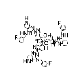 OC(c1cccc2c1cnn2-c1nc2c(c(NCc3cccc(F)c3)n1)CCNC2)C(O)(c1cccc2c1cnn2-c1nc2c(c(NCc3cccc(F)c3)n1)CCCC2)C(O)c1cccc2c1cnn2-c1nc2c(c(NCc3cccc(F)c3)n1)CNCC2